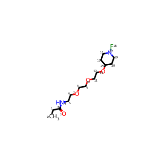 CCC(=O)NCCOCCOCCOC1CCN(F)CC1